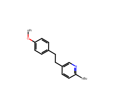 CCCCc1ccc(CCc2ccc(OCCC)cc2)cn1